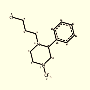 FC(F)(F)N1CCN(CCCCl)C(c2ccccc2)C1